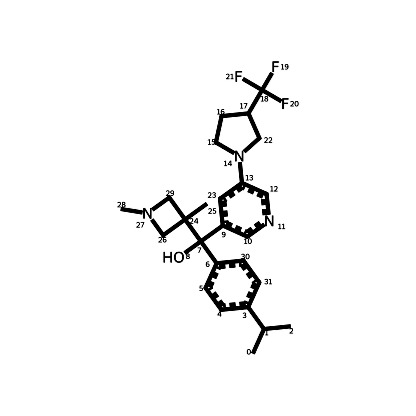 CC(C)c1ccc(C(O)(c2cncc(N3CCC(C(F)(F)F)C3)c2)C2(C)CN(C)C2)cc1